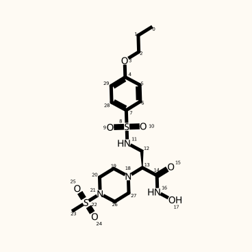 CCCOc1ccc(S(=O)(=O)NC[C@@H](C(=O)NO)N2CCN(S(C)(=O)=O)CC2)cc1